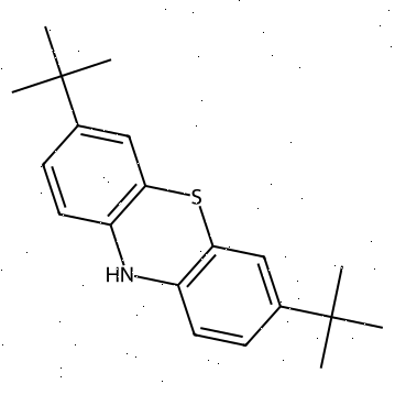 CC(C)(C)c1ccc2c(c1)Sc1cc(C(C)(C)C)ccc1N2